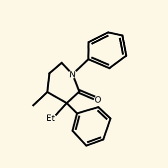 CCC1(c2ccccc2)C(=O)N(c2ccccc2)CCC1C